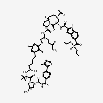 CCOP(=O)(OCC)C(=O)c1ccc2[nH]c(C(=O)N[C@H]3CN(C(C)=O)CC[C@H]4CC[C@@H](C(=O)N[C@@H](CCC(N)=O)COc5cc(C)cc(CCCCC(O)N[C@H](C(=O)N6C[C@H](O)C[C@H]6C(=O)N[C@@H](C)c6ccc(-c7scnc7C)cc6)C(C)(C)C)c5F)N4C3=O)cc2c1